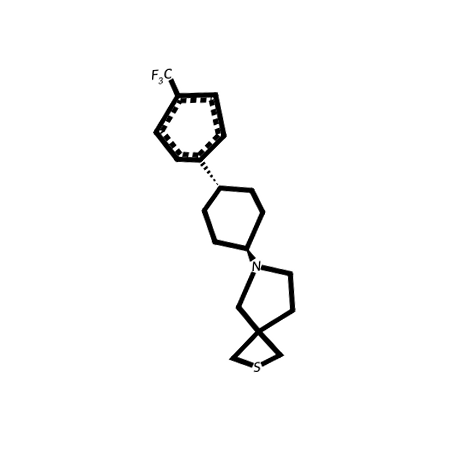 FC(F)(F)c1ccc([C@H]2CC[C@H](N3CCC4(CSC4)C3)CC2)cc1